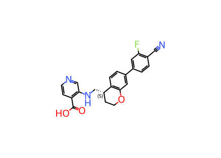 N#Cc1ccc(-c2ccc3c(c2)OCC[C@@H]3CNc2cnccc2C(=O)O)cc1F